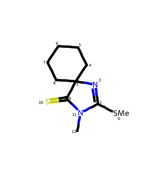 CSC1=NC2(CCCCC2)C(=S)N1C